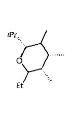 CCC1O[C@H](C(C)C)C(C)[C@H](C)[C@@H]1C